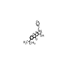 CC(C)c1ccc2oc3nc(NCCN4CCOCC4)c(C(=O)O)cc3c(=O)c2c1